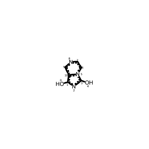 Oc1nc(O)n2ccncc12